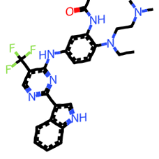 CCN(CCN(C)C)c1ccc(Nc2nc(-c3c[nH]c4ccccc34)ncc2C(F)(F)F)cc1NC(C)=O